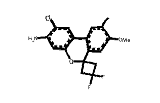 COc1cc2c(cc1C)-c1cc(Cl)c(N)cc1OC21CC(F)(F)C1